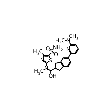 Cc1nc(N(C)C(O)C2Cc3ccc(-c4cccc(N(C)C)n4)cc3C2)sc1S(N)(=O)=O